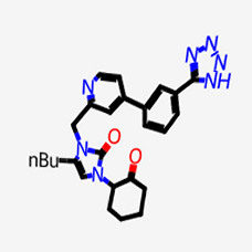 CCCCc1cn(C2CCCCC2=O)c(=O)n1Cc1cc(-c2cccc(-c3nnn[nH]3)c2)ccn1